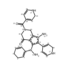 NN(C1=CCCC=C1)c1c2c(n(N)c1C1=CCNC=C1)CN(C(=O)C1=CCNC=C1)CC2=O